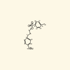 CCCCc1ccc(CCCOS(=O)(=O)c2ccc(C)cc2)cc1